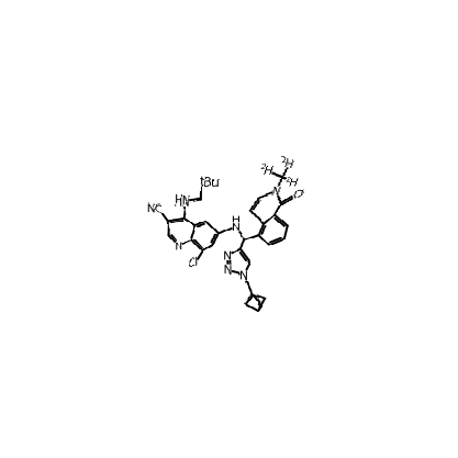 [2H]C([2H])([2H])n1ccc2c([C@H](Nc3cc(Cl)c4ncc(C#N)c(NCC(C)(C)C)c4c3)c3cn(C45CC(C4)C5)nn3)cccc2c1=O